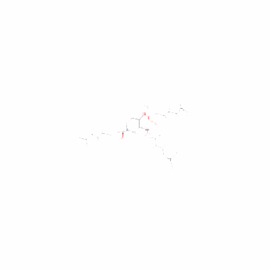 CC(C)CCCCOC(=O)C1CCC(C(=O)OCCCCC(C)C)C(C(=O)OCCCCC(C)C)C1